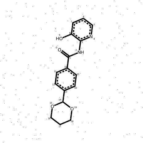 O=C(Nc1ncccc1O)c1ccc(C2OCCCO2)cc1